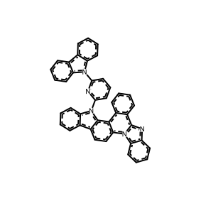 c1cc(-n2c3ccccc3c3ccccc32)nc(-n2c3ccccc3c3ccc4c(c5ccccc5c5nc6ccccc6n45)c32)c1